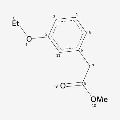 CCOc1cccc(CC(=O)OC)c1